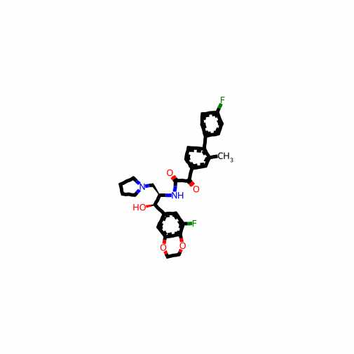 Cc1cc(C(=O)C(=O)N[C@H](CN2CCCC2)[C@H](O)c2cc(F)c3c(c2)OCCO3)ccc1-c1ccc(F)cc1